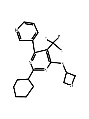 FC(F)(F)c1c(SC2COC2)nc(C2CCCCC2)nc1-c1cccnc1